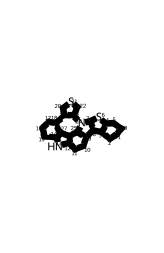 c1ccc2c(c1)sc1c2c2ccc3[nH]c4cccc5c6cscc6n1c2c3c45